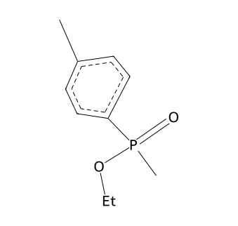 CCOP(C)(=O)c1ccc(C)cc1